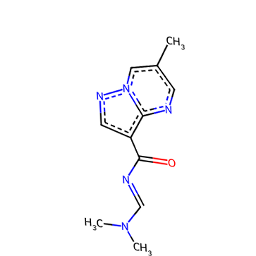 Cc1cnc2c(C(=O)N=CN(C)C)cnn2c1